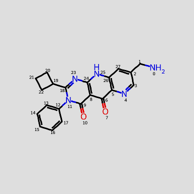 NCc1cnc2c(=O)c3c(=O)n(-c4ccccc4)c(C4CCC4)nc3[nH]c2c1